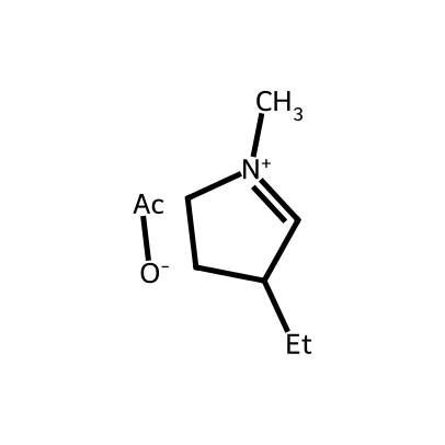 CC(=O)[O-].CCC1C=[N+](C)CC1